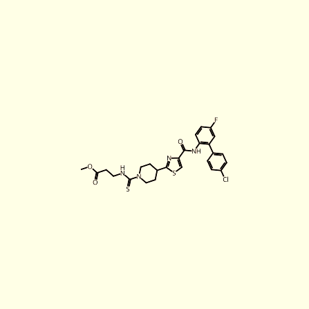 COC(=O)CCNC(=S)N1CCC(c2nc(C(=O)Nc3ccc(F)cc3-c3ccc(Cl)cc3)cs2)CC1